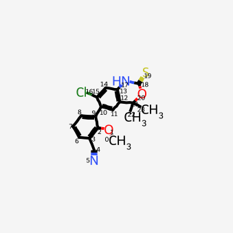 COc1c(C#N)cccc1-c1cc2c(cc1Cl)NC(=S)OC2(C)C